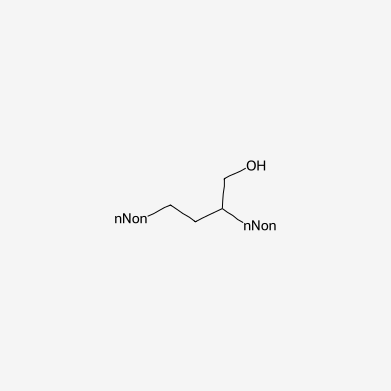 CCCCCCCCCCCC(CO)CCCCCCCCC